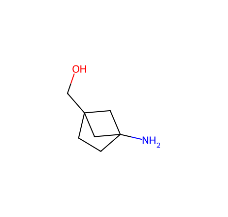 NC12CCC(CO)(C1)C2